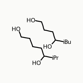 CC(C)C(O)CCCCO.CCC(C)C(O)CCCO